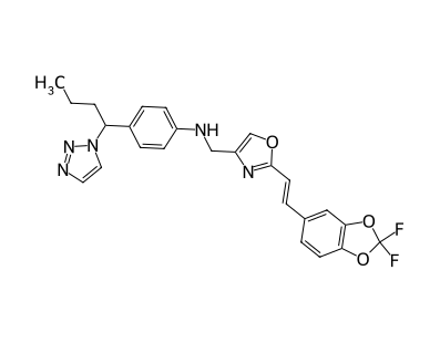 CCCC(c1ccc(NCc2coc(C=Cc3ccc4c(c3)OC(F)(F)O4)n2)cc1)n1ccnn1